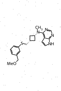 COCc1cccc(SC[C@H]2C[C@@H](N(C)c3ncnc4[nH]ccc34)C2)c1